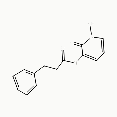 Cn1cccc(NC(=O)CCc2ccccc2)c1=O